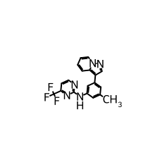 Cc1cc(Nc2nccc(C(F)(F)F)n2)cc(-c2cnn3ccccc23)c1